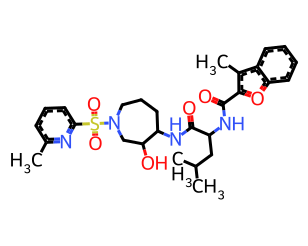 Cc1cccc(S(=O)(=O)N2CCCC(NC(=O)C(CC(C)C)NC(=O)c3oc4ccccc4c3C)C(O)C2)n1